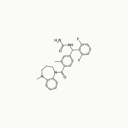 Cc1cc(C(NC(N)=O)c2c(F)cccc2F)ccc1C(=O)N1CCCN(C)c2ccccc21